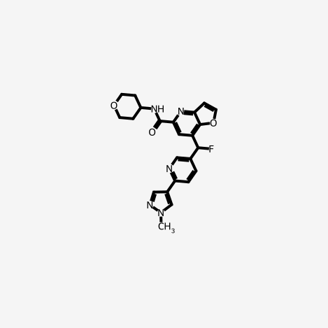 Cn1cc(-c2ccc(C(F)c3cc(C(=O)NC4CCOCC4)nc4ccoc34)cn2)cn1